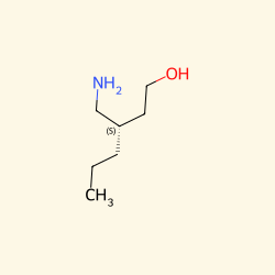 CCC[C@H](CN)CCO